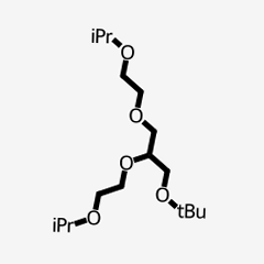 CC(C)OCCOCC(COC(C)(C)C)OCCOC(C)C